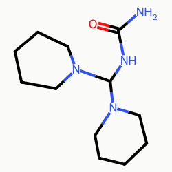 NC(=O)NC(N1CCCCC1)N1CCCCC1